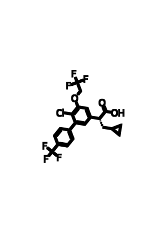 O=C(O)[C@H](CC1CC1)c1cc(OCC(F)(F)F)c(Cl)c(-c2ccc(C(F)(F)F)cc2)c1